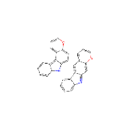 c1ccc2c(c1)nc1ccc3occcc3c12.c1coc2cc3nc4ccccc4c3cc2c1